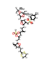 C=C(CC[C@@H](CC[C@@H]1O[C@@H](CCC2SCCCS2)CC1=C)OS(C)(=O)=O)CC[C@@H]1O[C@H](CC(CO[Si](C)(C)C(C)(C)C)O[Si](C)(C)C(C)(C)C)C[C@H]1CS(=O)(=O)c1ccc(CC)cc1